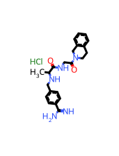 CC(NCc1ccc(C(=N)N)cc1)C(=O)NCC(=O)N1CCc2ccccc2C1.Cl